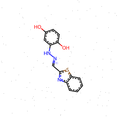 Oc1ccc(O)c(N/N=C/c2nc3ccccc3s2)c1